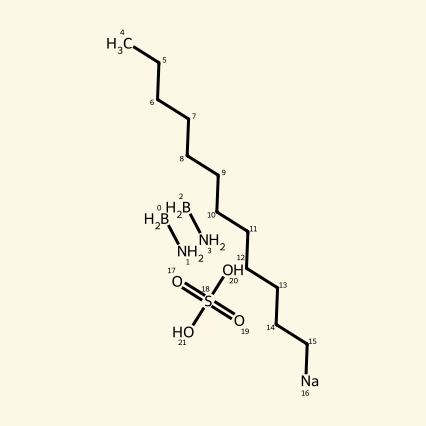 BN.BN.CCCCCCCCCCC[CH2][Na].O=S(=O)(O)O